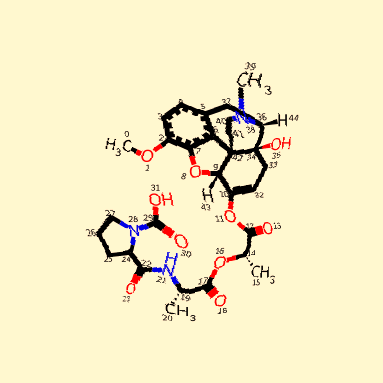 COc1ccc2c3c1O[C@H]1C(OC(=O)[C@H](C)OC(=O)[C@H](C)NC(=O)C4CCCN4C(=O)O)=CC[C@@]4(O)[C@@H](C2)N(C)CC[C@]314